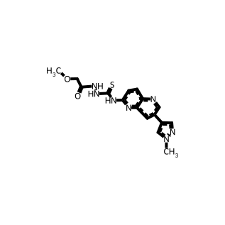 COCC(=O)NNC(=S)Nc1ccc2ncc(-c3cnn(C)c3)cc2n1